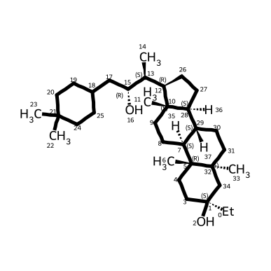 CC[C@]1(O)CC[C@]2(C)[C@H]3CC[C@]4(C)[C@@H]([C@H](C)[C@H](O)CC5CCC(C)(C)CC5)CC[C@H]4[C@@H]3CC[C@@]2(C)C1